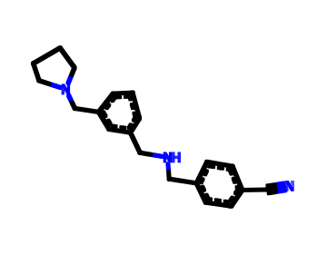 N#Cc1ccc(CNCc2cccc(CN3CCCC3)c2)cc1